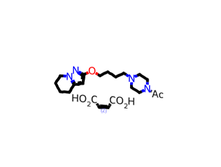 CC(=O)N1CCN(CCCCOc2cc3n(n2)CCCC3)CC1.O=C(O)/C=C\C(=O)O